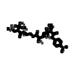 C=C(CCC(C)(C)N(CC)C(=O)Nc1ccc([N+](=O)[O-])cc1)C(=O)OCCNC(=O)N(CC)C(C)(C)C